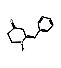 CCN1CCC(=O)C/C1=C\c1ccccc1